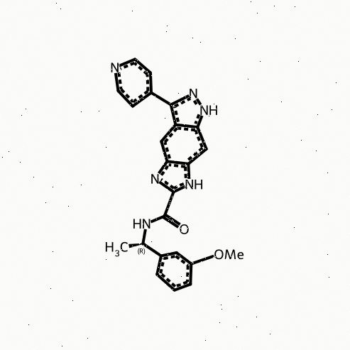 COc1cccc([C@@H](C)NC(=O)c2nc3cc4c(-c5ccncc5)n[nH]c4cc3[nH]2)c1